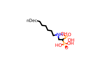 CCCCCCCCCCCCCCCCNCC(P(=O)(O)O)P(=O)(O)O